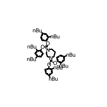 CCCCc1ccc(OP(Oc2ccc(CCCC)cc2CCCC)N2CCCN(P(Oc3ccc(CCCC)cc3CCCC)Oc3ccc(CCCC)cc3CCCC)CC2)c(CCCC)c1